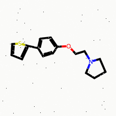 [c]1ccc(-c2ccc(OCCN3CCCC3)cc2)s1